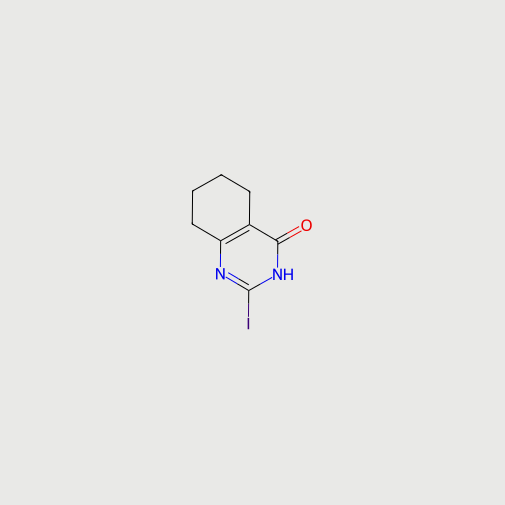 O=c1[nH]c(I)nc2c1CCCC2